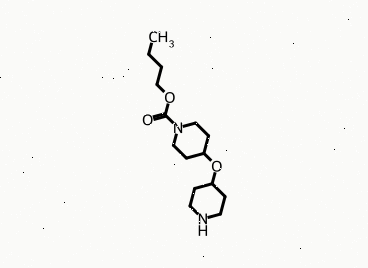 CCCCOC(=O)N1CCC(OC2CCNCC2)CC1